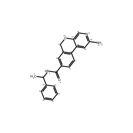 CC(NC(=O)c1ccc2c(c1)COc1cnc(N)cc1-2)c1ccccc1